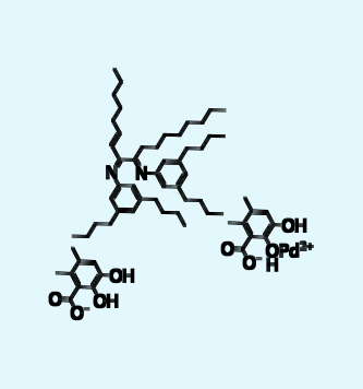 CCCCCC=CC(=Nc1cc(CCCC)cc(CCCC)c1)C(CCCCCCCC)=Nc1cc(CCCC)cc(CCCC)c1.Cc1cc(O)c(O)c(C(=O)[O-])c1C.Cc1cc(O)c(O)c(C(=O)[O-])c1C.[Pd+2]